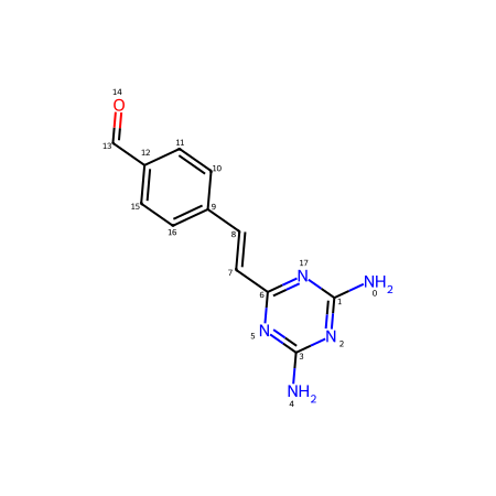 Nc1nc(N)nc(C=Cc2ccc(C=O)cc2)n1